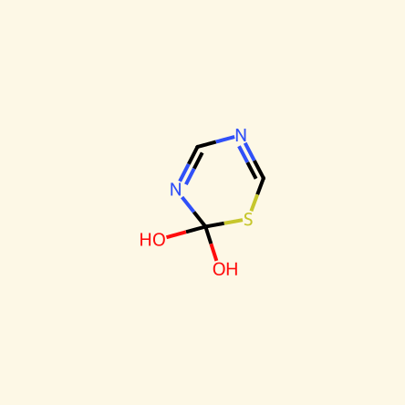 OC1(O)N=CN=CS1